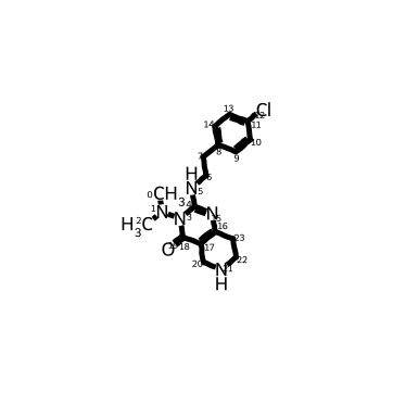 CN(C)n1c(NCCc2ccc(Cl)cc2)nc2c(c1=O)CNCC2